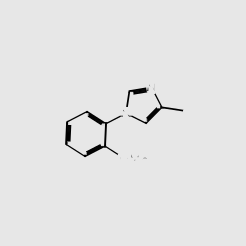 COc1c[c]ccc1-n1cnc(C)c1